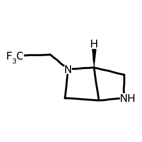 FC(F)(F)CN1CC2NC[C@H]21